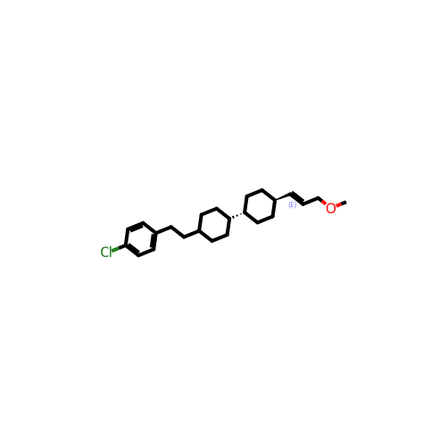 COC/C=C/[C@H]1CC[C@H](C2CCC(CCc3ccc(Cl)cc3)CC2)CC1